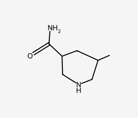 CC1CNCC(C(N)=O)C1